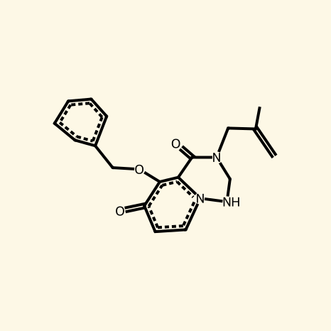 C=C(C)CN1CNn2ccc(=O)c(OCc3ccccc3)c2C1=O